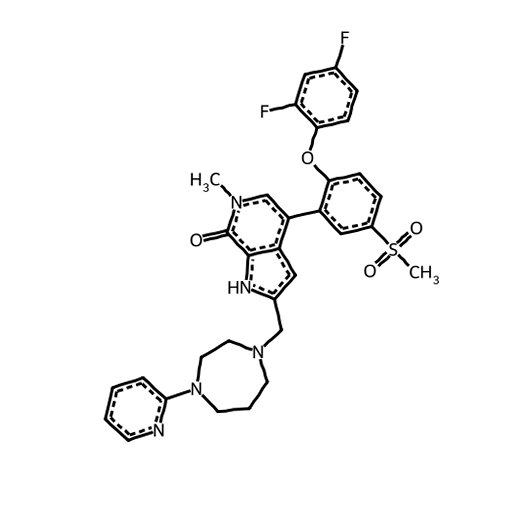 Cn1cc(-c2cc(S(C)(=O)=O)ccc2Oc2ccc(F)cc2F)c2cc(CN3CCCN(c4ccccn4)CC3)[nH]c2c1=O